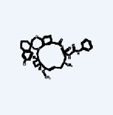 CO[C@H]1/C=C/C[C@H](C)CS(=O)(NC(=O)Nc2ncccn2)=NC(=O)c2ccc3c(c2)N(C[C@@H]2CC[C@H]21)C[C@@]1(CCCc2cc(Cl)ccc21)CO3